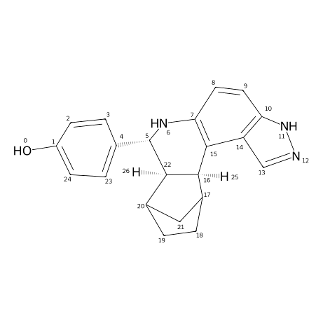 Oc1ccc([C@@H]2Nc3ccc4[nH]ncc4c3[C@H]3C4CCC(C4)[C@@H]23)cc1